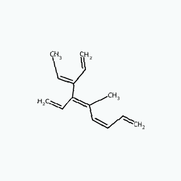 C=C\C=C/C(C)=C(C=C)/C(C=C)=C/C